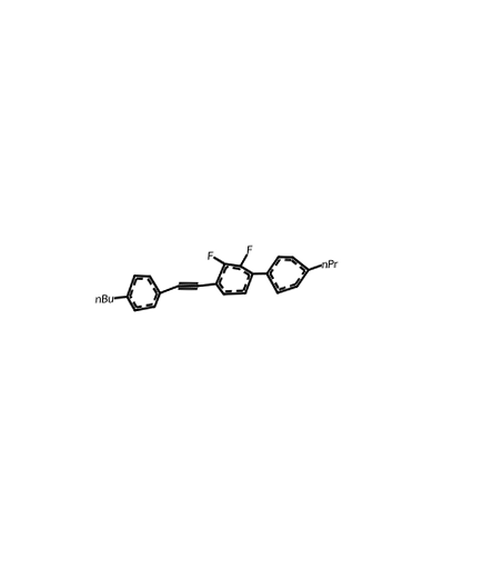 CCCCc1ccc(C#Cc2ccc(-c3ccc(CCC)cc3)c(F)c2F)cc1